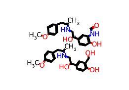 COc1ccc(CC(C)NCC(O)c2ccc(O)c(CO)c2)cc1.COc1ccc(C[C@@H](C)NC[C@H](O)c2ccc(O)c(NC=O)c2)cc1